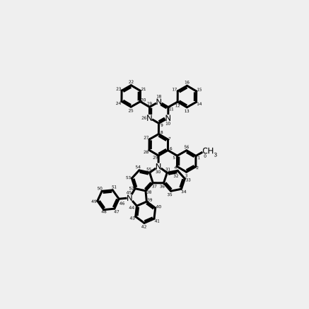 Cc1cccc(-c2cc(-c3nc(-c4ccccc4)nc(-c4ccccc4)n3)ccc2-n2c3ccccc3c3c4c5ccccc5n(-c5ccccc5)c4ccc32)c1